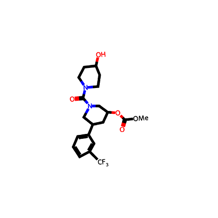 COC(=O)OC1CC(c2cccc(C(F)(F)F)c2)CN(C(=O)N2CCC(O)CC2)C1